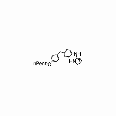 CCCCCOc1ccc(Cc2ccc(NC3=NCCN3)cc2)cc1